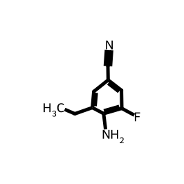 CCc1cc(C#N)cc(F)c1N